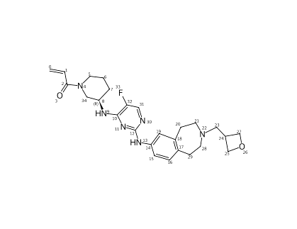 C=CC(=O)N1CCC[C@@H](Nc2nc(Nc3ccc4c(c3)CCN(CC3COC3)CC4)ncc2F)C1